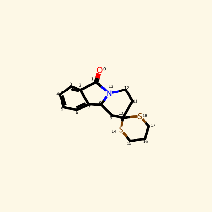 O=C1c2ccccc2C2CC3(CCN12)SCCCS3